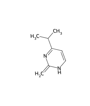 C=C1N=C(C(C)C)C=CN1